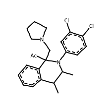 CC(=O)C1(CN2CCCC2)c2ccccc2C(C)C(C)N1c1ccc(Cl)c(Cl)c1